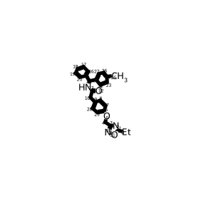 CCc1nc(COc2ccc(CC(=O)NC(c3ccccc3)c3ccc(C)cc3)cc2)no1